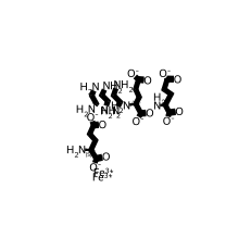 NCCN.NCCN.NCCN.N[C@@H](CCC(=O)[O-])C(=O)[O-].N[C@@H](CCC(=O)[O-])C(=O)[O-].N[C@@H](CCC(=O)[O-])C(=O)[O-].[Fe+3].[Fe+3]